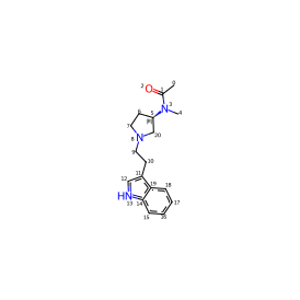 CC(=O)N(C)[C@@H]1CCN(CCc2c[nH]c3ccccc23)C1